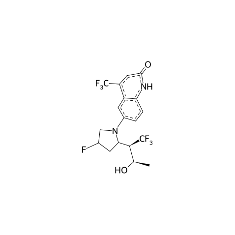 C[C@@H](O)[C@@H](C1CC(F)CN1c1ccc2[nH]c(=O)cc(C(F)(F)F)c2c1)C(F)(F)F